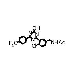 CC(=O)NCc1ccc(Cl)c(-c2nc(O)nc(-c3ccc(C(F)(F)F)cc3)n2)c1